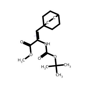 COC(=O)/C(=C/C12CCC(CC1)CC2)NC(=O)OC(C)(C)C